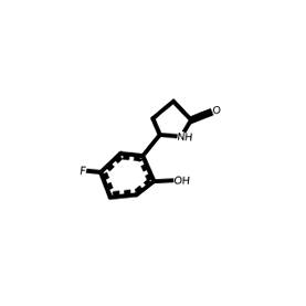 O=C1CCC(c2cc(F)ccc2O)N1